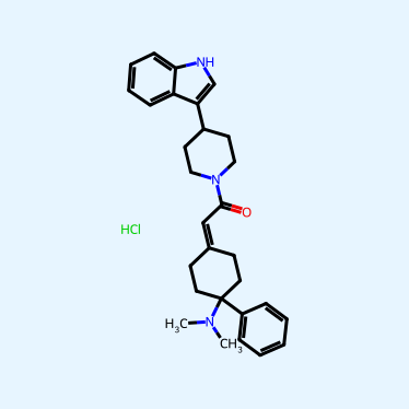 CN(C)C1(c2ccccc2)CCC(=CC(=O)N2CCC(c3c[nH]c4ccccc34)CC2)CC1.Cl